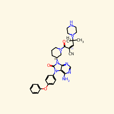 CC(C)(/C=C(/C#N)C(=O)N1CCC[C@H](n2c(=O)n(-c3ccc(Oc4ccccc4)cc3)c3c(N)ncnc32)C1)N1CCNCC1